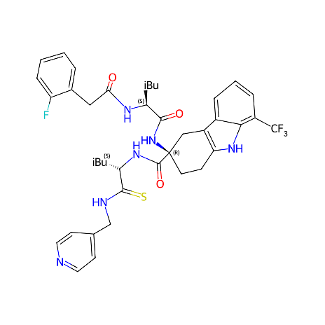 CCC(C)[C@H](NC(=O)Cc1ccccc1F)C(=O)N[C@]1(C(=O)NC(C(=S)NCc2ccncc2)[C@@H](C)CC)CCc2[nH]c3c(C(F)(F)F)cccc3c2C1